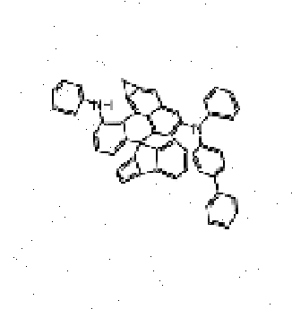 c1ccc(Nc2cccc3c2-c2c4c(cc5cc(N(c6ccccc6)c6ccc(-c7ccccc7)cc6)cc(c25)C32c3ccccc3-c3ccccc32)C4)cc1